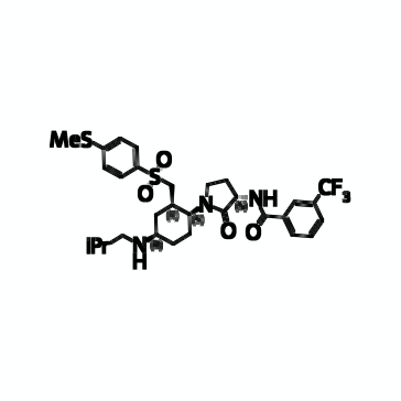 CSc1ccc(S(=O)(=O)C[C@@H]2C[C@H](NCC(C)C)CC[C@@H]2N2CC[C@H](NC(=O)c3cccc(C(F)(F)F)c3)C2=O)cc1